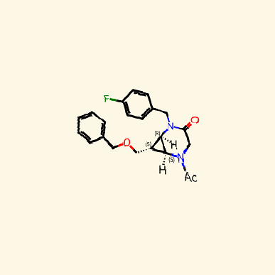 CC(=O)N1CC(=O)N(Cc2ccc(F)cc2)[C@@H]2[C@@H](COCc3ccccc3)[C@@H]21